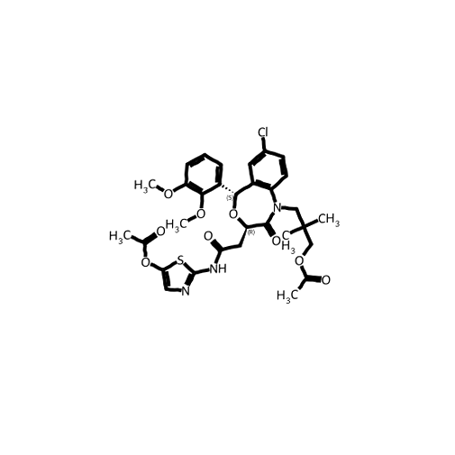 COc1cccc([C@H]2O[C@H](CC(=O)Nc3ncc(OC(C)=O)s3)C(=O)N(CC(C)(C)COC(C)=O)c3ccc(Cl)cc32)c1OC